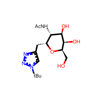 CC(=O)N[C@@H]1[C@@H](O)[C@@H](O)[C@@H](CO)O[C@@H]1Cc1cn(C(C)(C)C)nn1